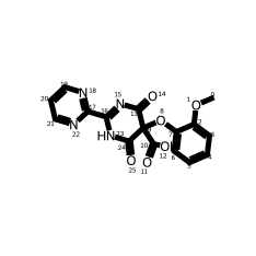 COc1ccccc1OC1(C(=O)O)C(=O)N=C(c2ncccn2)NC1=O